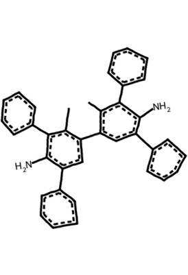 Cc1c(-c2cc(-c3ccccc3)c(N)c(-c3ccccc3)c2C)cc(-c2ccccc2)c(N)c1-c1ccccc1